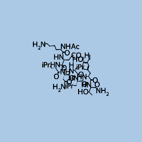 CC(=O)N[C@@H](CCCCN)C(=O)N[C@@H](CCC(=O)O)C(=O)N[C@@H](CC(C)C)C(=O)N[C@@H](CC(N)=O)C(=O)N[C@H](C(=O)N[C@@H](CC(C)C)C(=O)N[C@@H](Cc1ccc(O)c(I)c1)C(=O)N[C@H](C(N)=O)C(C)O)C(C)C